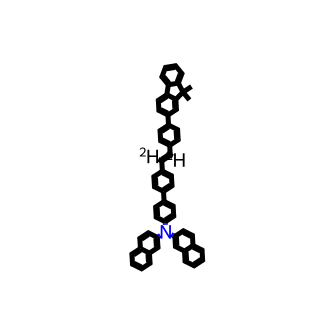 [2H]/C(=C(/[2H])c1ccc(-c2ccc3c(c2)C(C)(C)c2ccccc2-3)cc1)c1ccc(-c2ccc(N(c3ccc4ccccc4c3)c3ccc4ccccc4c3)cc2)cc1